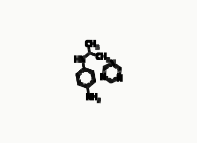 CC(C)Nc1ccc(N)cc1.c1ncncn1